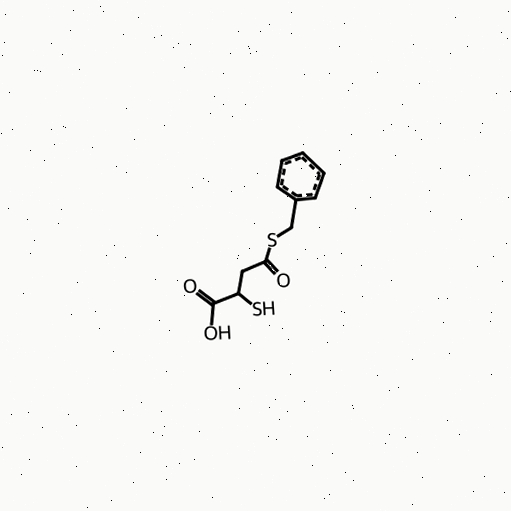 O=C(CC(S)C(=O)O)SCc1ccccc1